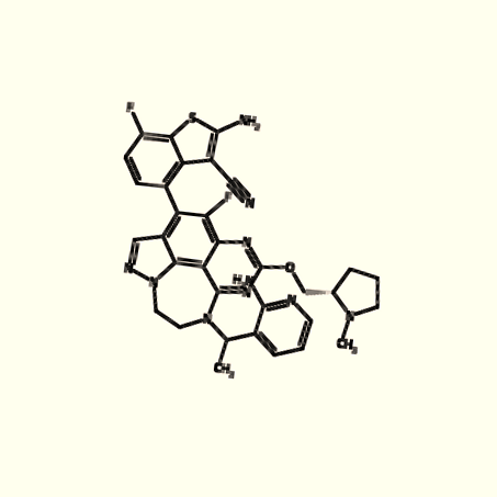 CC(c1cccnc1N)N1CCn2ncc3c(-c4ccc(F)c5sc(N)c(C#N)c45)c(F)c4nc(OC[C@@H]5CCCN5C)nc1c4c32